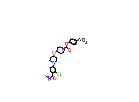 CN(C)C(=O)c1ccc(N2CCC(OC3CCN(C(=O)Oc4ccc([N+](=O)[O-])cc4)CC3)CC2)cc1Cl